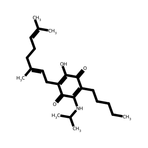 CCCCCC1=C(NC(C)C)C(=O)C(C/C=C(\C)CCC=C(C)C)=C(O)C1=O